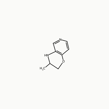 CC1COc2ccncc2N1